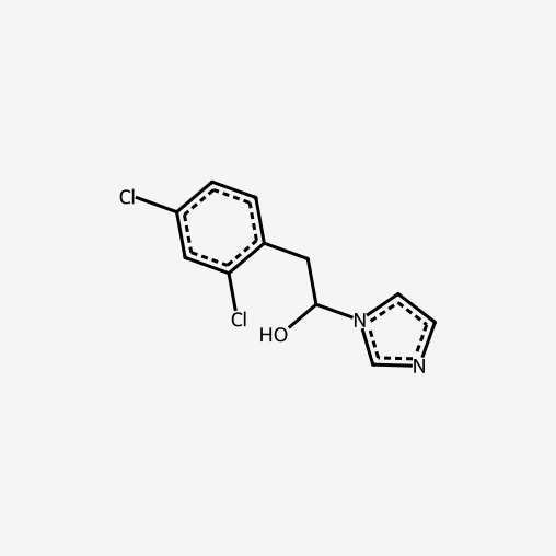 OC(Cc1ccc(Cl)cc1Cl)n1ccnc1